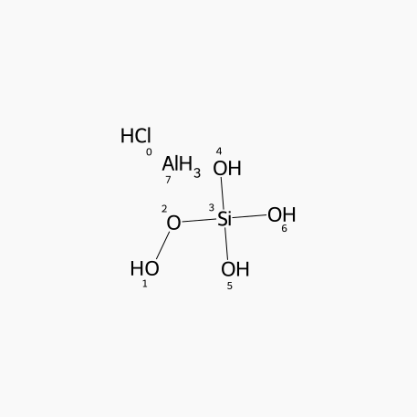 Cl.OO[Si](O)(O)O.[AlH3]